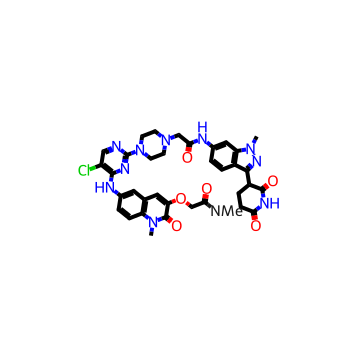 CNC(=O)COc1cc2cc(Nc3nc(N4CCN(CC(=O)Nc5ccc6c(C7CCC(=O)NC7=O)nn(C)c6c5)CC4)ncc3Cl)ccc2n(C)c1=O